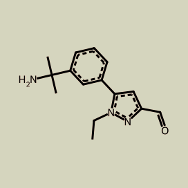 CCn1nc(C=O)cc1-c1cccc(C(C)(C)N)c1